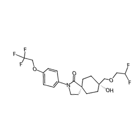 O=C1N(c2ccc(OCC(F)(F)F)cc2)CC[C@]12CC[C@](O)(COCC(F)F)CC2